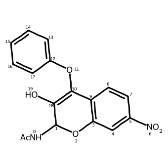 CC(=O)NC1Oc2cc([N+](=O)[O-])ccc2C(Oc2ccccc2)=C1O